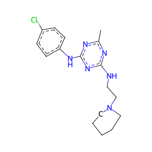 Cc1nc(NCCN2CCCCC2)nc(Nc2ccc(Cl)cc2)n1